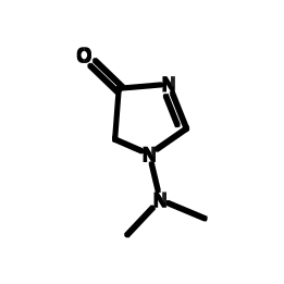 CN(C)N1C=NC(=O)C1